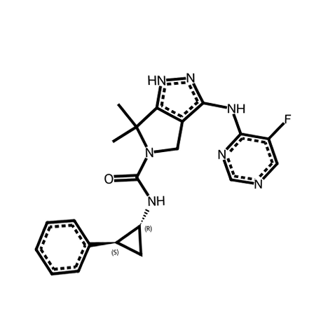 CC1(C)c2[nH]nc(Nc3ncncc3F)c2CN1C(=O)N[C@@H]1C[C@H]1c1ccccc1